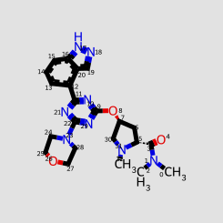 CN(C)C(=O)[C@H]1C[C@H](Oc2nc(-c3cccc4[nH]ncc34)nc(N3CCOCC3)n2)CN1C